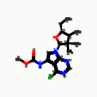 CC(=O)OC[C@H]1O[C@@H](n2cc(NC(=O)OC(C)(C)C)c3c(Cl)ncnc32)[C@](C)(OC(C)=O)[C@@H]1OC(C)=O